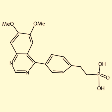 COc1cc2ncnc(-c3ccc(CCP(=O)(O)O)cc3)c2cc1OC